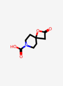 O=C1CC2(CCN(C(=O)O)CC2)O1